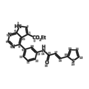 CCOC(=O)c1c[nH]c2ncnc(-c3cccc(NC(=O)/C=C/c4cccs4)c3)c12